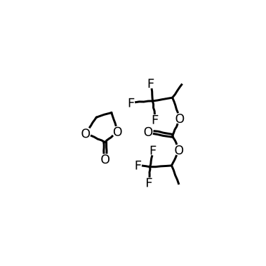 CC(OC(=O)OC(C)C(F)(F)F)C(F)(F)F.O=C1OCCO1